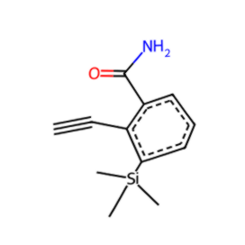 C#Cc1c(C(N)=O)cccc1[Si](C)(C)C